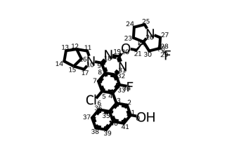 Oc1cc(-c2c(Cl)cc3c(N4CC5CCC(C5)C4)nc(OC[C@@]45CCCN4C[C@H](F)C5)nc3c2F)c2ccccc2c1